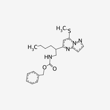 CCCCC(CNC(=O)OCc1ccccc1)c1cc(SC)n2nccc2n1